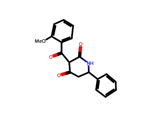 COc1ccccc1C(=O)C1C(=O)CC(c2ccccc2)NC1=O